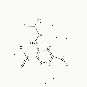 COc1ccc([N+](=O)[O-])c(NCC(C)C)n1